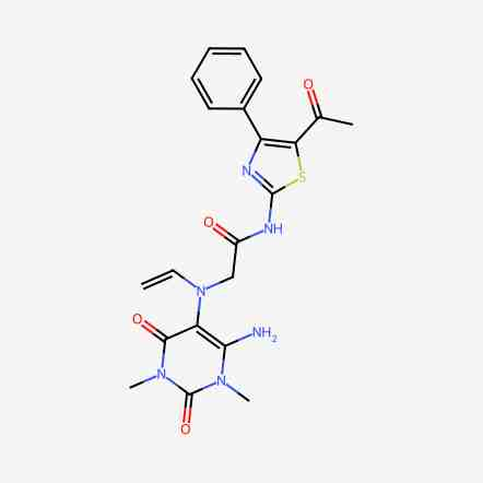 C=CN(CC(=O)Nc1nc(-c2ccccc2)c(C(C)=O)s1)c1c(N)n(C)c(=O)n(C)c1=O